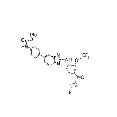 CC(C)(C)OC(=O)Nc1ccc(-c2ccc3nc(Nc4ccc(C(=O)N5CC(F)C5)cc4OCC(F)(F)F)nn3c2)cc1